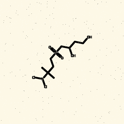 CC(C)(CCS(=O)(=O)CC(O)CCO)N(Cl)Cl